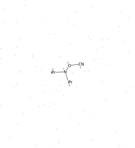 CC(C)N(OC#N)C(C)C